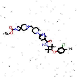 CC(C)(C)OC(=O)N1CC2(CCN(CC3CCN(c4ccc(C(=O)NC5C(C)(C)C(Oc6ccc(C#N)c(Cl)c6)C5(C)C)cn4)CC3)CC2)C1